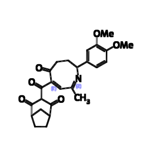 COc1ccc(C2CCC(=O)/C(C(=O)C3C(=O)C4CCC(C4)C3=O)=C\C(C)=N/2)cc1OC